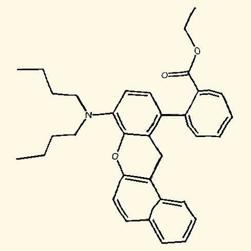 CCCCN(CCCC)c1ccc(-c2ccccc2C(=O)OCC)c2c1Oc1ccc3ccccc3c1C2